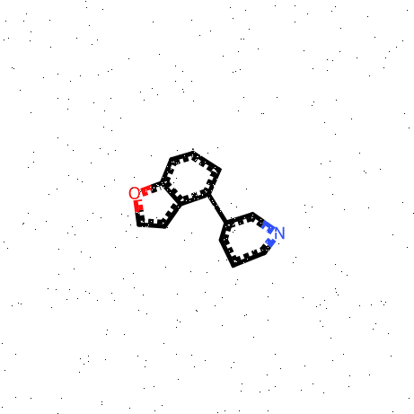 [c]1cc(-c2cccnc2)c2ccoc2c1